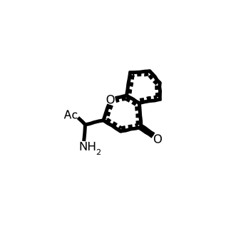 CC(=O)C(N)c1cc(=O)c2ccccc2o1